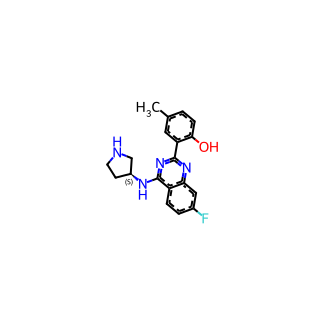 Cc1ccc(O)c(-c2nc(N[C@H]3CCNC3)c3ccc(F)cc3n2)c1